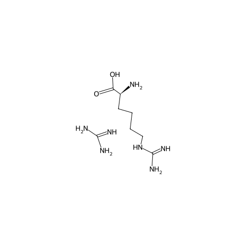 N=C(N)N.N=C(N)NCCCC[C@H](N)C(=O)O